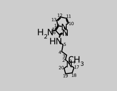 C[N+]1(CCCCNc2nn3ccccc3c2N)CCCC1